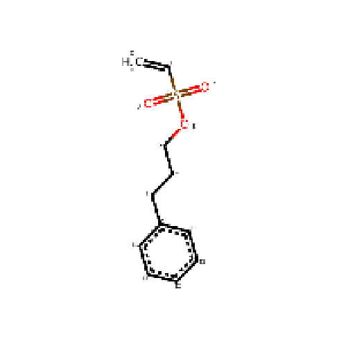 C=CS(=O)(=O)OCCCc1ccccc1